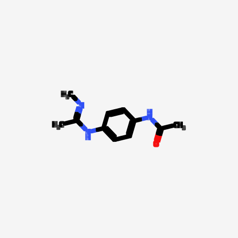 CN=C(C)Nc1ccc(NC(C)=O)cc1